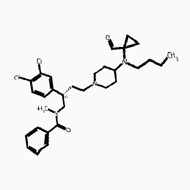 CCCCN(C1CCN(CC[C@H](CN(C)C(=O)c2ccccc2)c2ccc(Cl)c(Cl)c2)CC1)C1(C=O)CC1